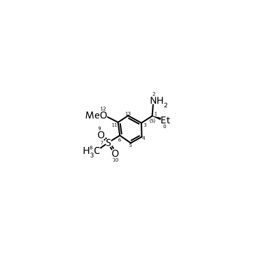 CC[C@H](N)c1ccc(S(C)(=O)=O)c(OC)c1